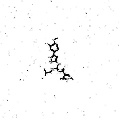 COc1ccc(-c2cc(N/C(=N\C(=O)c3cn(C)nc3C)NCC(C)C)[nH]n2)cc1F